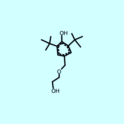 CC(C)(C)c1cc(COCCO)cc(C(C)(C)C)c1O